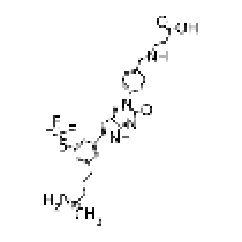 C[C@H](N)CCCc1cc(SC(F)(F)F)cc(-c2cc3cn(-c4ccc(CNCCC(=O)O)cc4)c(=O)nc3[nH]2)c1